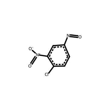 O=Nc1ccc(Cl)c([N+](=O)[O-])c1